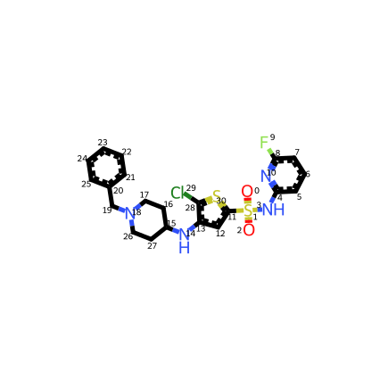 O=S(=O)(Nc1cccc(F)n1)c1cc(NC2CCN(Cc3ccccc3)CC2)c(Cl)s1